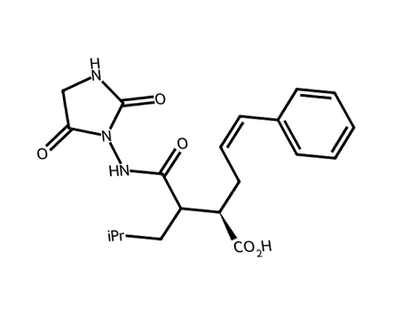 CC(C)CC(C(=O)NN1C(=O)CNC1=O)[C@@H](C/C=C\c1ccccc1)C(=O)O